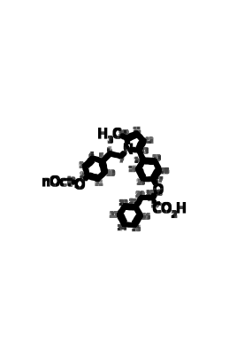 CCCCCCCCOc1ccc(CCn2c(C)ccc2-c2ccc(O[C@H](Cc3ccccc3)C(=O)O)cc2)cc1